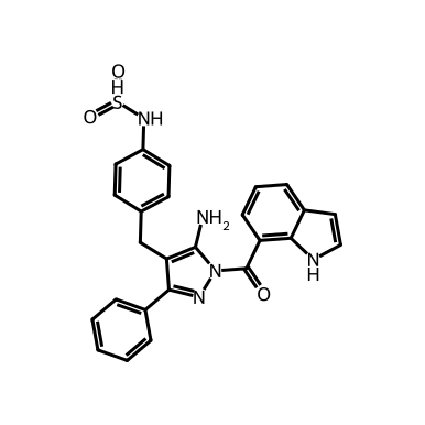 Nc1c(Cc2ccc(N[SH](=O)=O)cc2)c(-c2ccccc2)nn1C(=O)c1cccc2cc[nH]c12